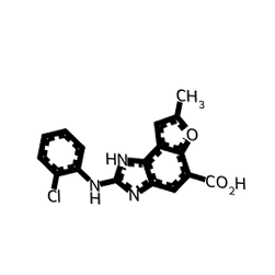 Cc1cc2c(o1)c(C(=O)O)cc1nc(Nc3ccccc3Cl)[nH]c12